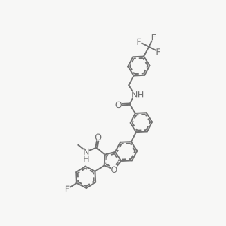 CNC(=O)c1c(-c2ccc(F)cc2)oc2ccc(-c3cccc(C(=O)NCc4ccc(C(F)(F)F)cc4)c3)cc12